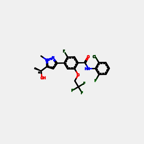 C[C@H](O)c1cc(-c2cc(OCC(F)(F)F)c(C(=O)Nc3c(F)cccc3Cl)cc2F)nn1C